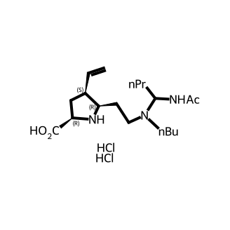 C=C[C@@H]1C[C@H](C(=O)O)N[C@@H]1CCN(CCCC)C(CCC)NC(C)=O.Cl.Cl